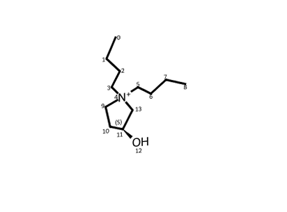 CCCC[N+]1(CCCC)CC[C@H](O)C1